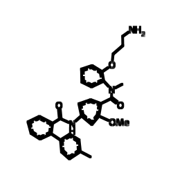 COc1cc(NC(=O)c2ccccc2-c2ccc(C)cc2)ccc1C(=O)N(C)c1ccccc1OCCCN